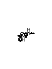 CCCCNc1cc(C)c(NC(=O)C(CC)N2CCCCC2)c(C)c1